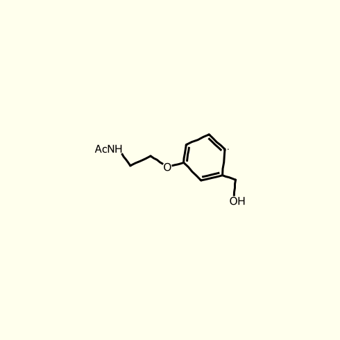 CC(=O)NCCOc1cc[c]c(CO)c1